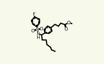 CCCCCCC(NS(=O)(=O)c1ccc(F)cc1)c1ccc(CCCC(=O)OC)cc1